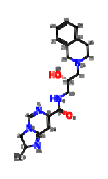 CCC1CN2C=NC(C(=O)NC[C@H](O)CN3CCc4ccccc4C3)=CC2=N1